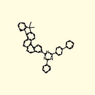 CC1(C)c2ccccc2-c2c1ccc1c2ccc2ccc3cc(-c4nc(-c5ccccc5)nc(-c5ccc(-c6ccccc6)cc5)n4)ccc3c21